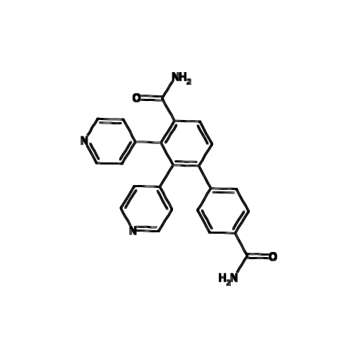 NC(=O)c1ccc(-c2ccc(C(N)=O)c(-c3ccncc3)c2-c2ccncc2)cc1